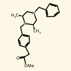 COC(=O)Cc1ccc(CN2[C@H](C)CN(Cc3ccccc3)C[C@@H]2C)cc1